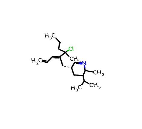 C=C/C=C(\C[C@@H]1C=NC(C)C(C(C)C)C1)C(C)(Cl)CCC